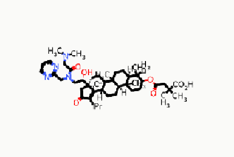 CC(C)C1=C2[C@H]3CC[C@@H]4[C@@]5(C)CC[C@H](OC(=O)CC(C)(C)C(=O)O)C(C)(C)[C@@H]5CC[C@@]4(C)[C@]3(C)CC[C@@]2([C@@H](O)CN(Cc2ncccn2)C(=O)CN(C)C)CC1=O